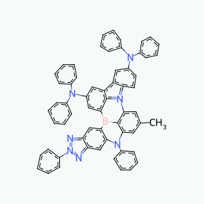 Cc1cc2c3c(c1)-n1c4ccc(N(c5ccccc5)c5ccccc5)cc4c4cc(N(c5ccccc5)c5ccccc5)cc(c41)B3c1cc3nn(-c4ccccc4)nc3cc1N2c1ccccc1